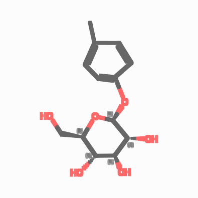 Cc1ccc(O[C@@H]2O[C@H](CO)[C@@H](O)[C@H](O)[C@H]2O)cc1